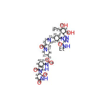 CCNC(=O)c1nnc(-c2cc(C(C)C)c(O)cc2O)n1-c1ccc(CN2CCC(C(=O)N3CCC(COC(=O)Nc4cccc5c4CN(C4CCC(=O)NC4=O)C5=O)CC3)CC2)cc1